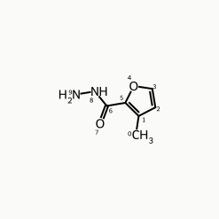 Cc1ccoc1C(=O)NN